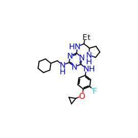 CCC(Nc1nc(NCC2CCCCC2)nc(Nc2ccc(OC3CC3)c(F)c2)n1)C1CCCN1